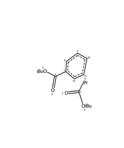 CC(C)COC(=O)C(C)C.CC(C)COC(=O)c1ccccc1